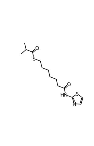 CC(C)C(=O)SCCCCCCC(=O)Nc1nccs1